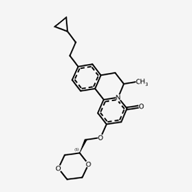 CC1Cc2cc(CCC3CC3)ccc2-c2cc(OC[C@@H]3COCCO3)cc(=O)n21